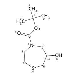 CC(C)(C)OC(=O)N1CCSCC(O)C1